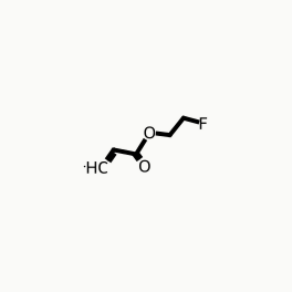 [CH]=CC(=O)OCCF